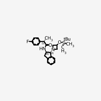 C[C@H](C(=O)N[C@@H]1Cc2ccccc2[C@H]1N1CC(O[Si](C)(C)C(C)(C)C)C1)c1ccc(F)cc1